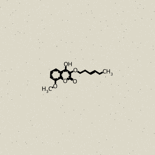 CCC=CCCOc1c(O)c2cccc(OC)c2oc1=O